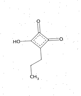 CCCc1c(O)c(=O)c1=O